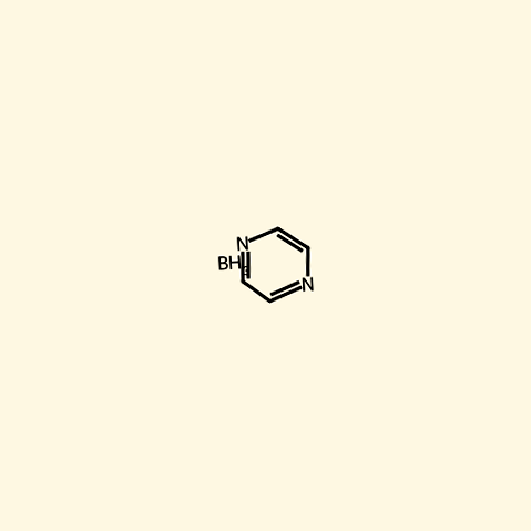 B.c1cnccn1